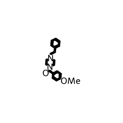 COc1ccc(C(=O)N2CCN(CCc3ccccc3)CC2)cc1